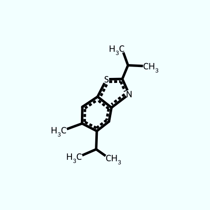 Cc1cc2sc(C(C)C)nc2cc1C(C)C